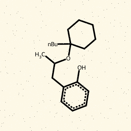 CCCCC1(OC(C)Cc2ccccc2O)CCCCC1